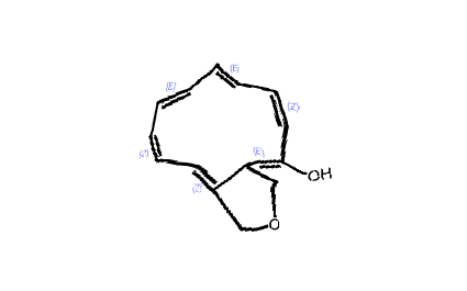 OC1=C2/COC/C2=C\C=C/C=C/C=C/C=C\1